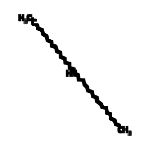 CCCCCCCCCCC=CCCCCCCCCNCCCCCCCCC=CCCCCCCCCCC